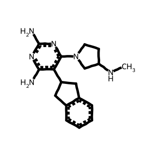 CNC1CCN(c2nc(N)nc(N)c2C2Cc3ccccc3C2)C1